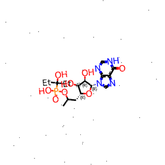 CCC(O)(CC)P(=O)(O)OC(C)C[C@H]1O[C@@H](n2cnc3c(=O)[nH]cnc32)[C@H](O)[C@@H]1O